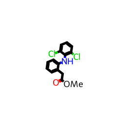 COC(=O)Cc1ccccc1Nc1c(Cl)cccc1Cl